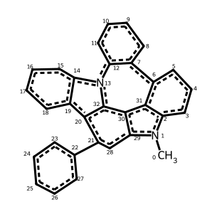 Cn1c2cccc3c4ccccc4n4c5ccccc5c5c(-c6ccccc6)cc1c(c32)c54